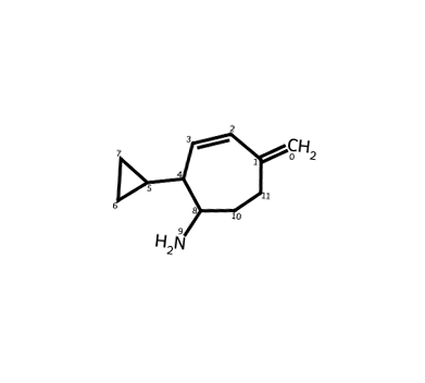 C=C1C=CC(C2CC2)C(N)CC1